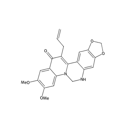 C=CCc1c2n(c3cc(OC)c(OC)cc3c1=O)CNc1cc3c(cc1-2)OCO3